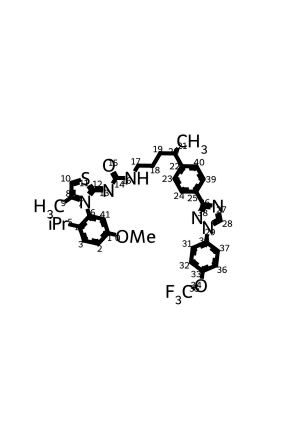 COc1ccc(C(C)C)c(-n2c(C)cs/c2=N\C(=O)NCCCC(C)c2ccc(-c3ncn(-c4ccc(OC(F)(F)F)cc4)n3)cc2)c1